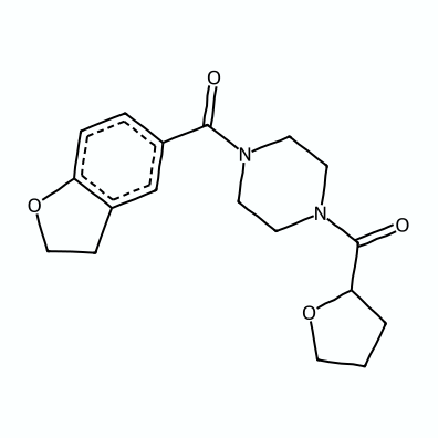 O=C(c1ccc2c(c1)CCO2)N1CCN(C(=O)C2CCCO2)CC1